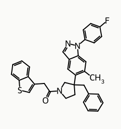 Cc1cc2c(cnn2-c2ccc(F)cc2)cc1C1(Cc2ccccc2)CCN(C(=O)Cc2csc3ccccc23)C1